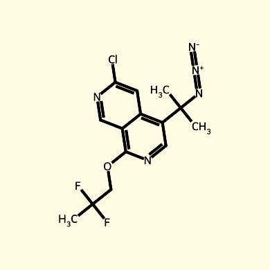 CC(F)(F)COc1ncc(C(C)(C)N=[N+]=[N-])c2cc(Cl)ncc12